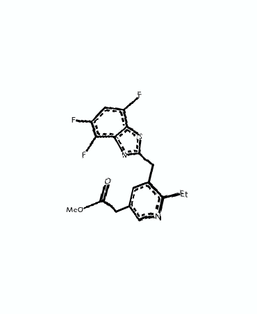 CCc1ncc(CC(=O)OC)cc1Cc1nc2c(F)c(F)cc(F)c2s1